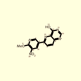 COc1ncc(-c2ccc3ncnc(O)c3n2)cc1[N+](=O)[O-]